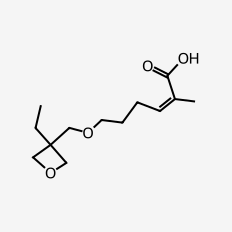 CCC1(COCCCC=C(C)C(=O)O)COC1